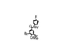 COc1c(Br)cc(C(=O)Nc2ccc(F)cc2)cc1Br